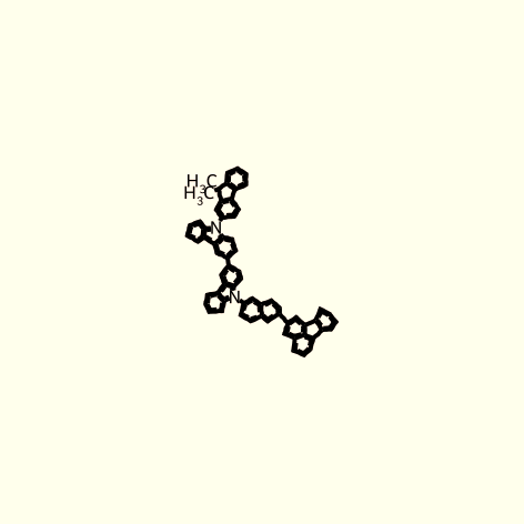 CC1(C)c2ccccc2-c2ccc(-n3c4ccccc4c4cc(-c5ccc6c(c5)c5ccccc5n6-c5ccc6cc(-c7cc8c9c(cccc9c7)-c7ccccc7-8)ccc6c5)ccc43)cc21